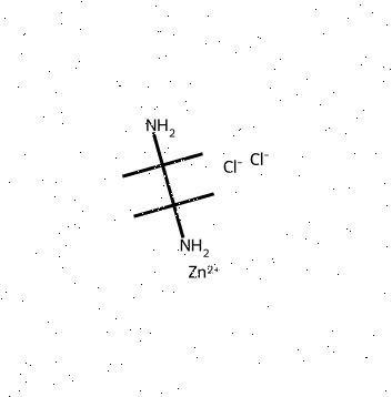 CC(C)(N)C(C)(C)N.[Cl-].[Cl-].[Zn+2]